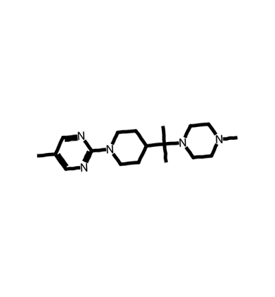 Cc1cnc(N2CCC(C(C)(C)N3CCN(C)CC3)CC2)nc1